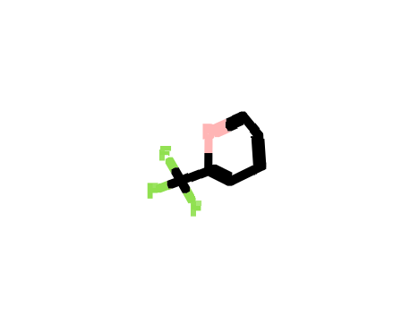 FC(F)(F)c1bcccc1